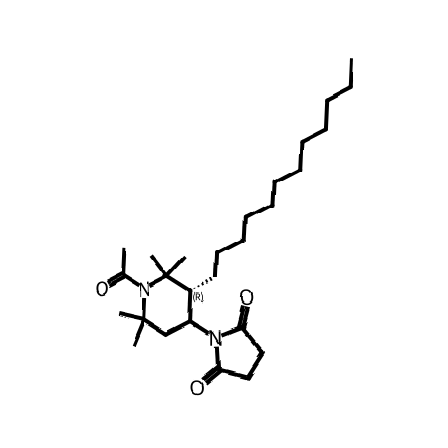 CCCCCCCCCCCC[C@@H]1C(N2C(=O)CCC2=O)CC(C)(C)N(C(C)=O)C1(C)C